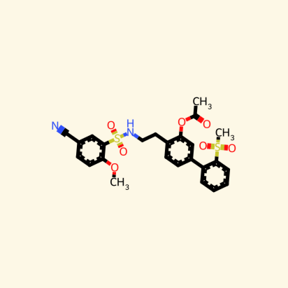 COc1ccc(C#N)cc1S(=O)(=O)NCCc1ccc(-c2ccccc2S(C)(=O)=O)cc1OC(C)=O